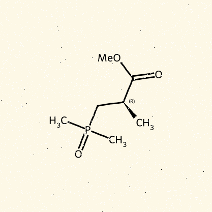 COC(=O)[C@@H](C)CP(C)(C)=O